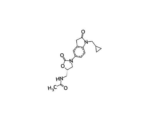 CC(=O)NC[C@H]1CN(c2ccc3c(c2)CC(=O)N3CC2CC2)C(=O)O1